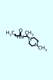 C=CC(=O)NC(C)N1CCN(C)CC1